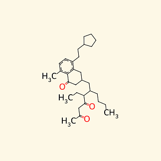 CCCCC(CC1CC(=O)c2c(C)ccc(CCC3CCCC3)c2C1)C(CC)C(=O)CC(C)=O